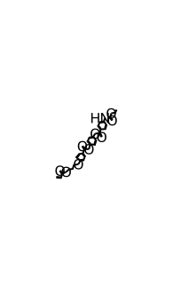 C=CC(=O)OCCCOc1ccc(C(=O)Oc2ccc(OC(=O)c3ccc(NC(=O)OCC)cc3)cc2)cc1